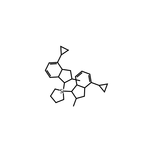 CC1CC2C(C3CC3)=CC=CC2C1[Si]1(C2C(C)CC3C(C4CC4)=CC=CC32)CCCC1